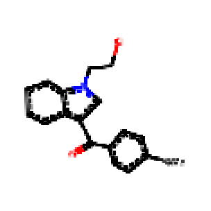 COc1ccc(C(=O)c2cn(CCO)c3ccccc23)cc1